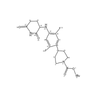 CC(C)(C)OC(=O)N1CCC(c2cc(F)c(NC3CCC(=O)NC3=O)cc2F)CC1